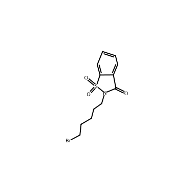 O=C1c2ccccc2S(=O)(=O)N1CCCCCBr